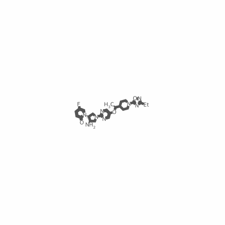 CCc1noc(N2CCC([C@H](C)Oc3cnc(N4C[C@@H](N)[C@H](n5cc(F)ccc5=O)C4)nc3)CC2)n1